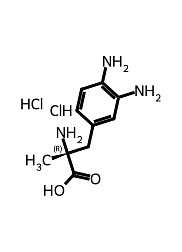 C[C@@](N)(Cc1ccc(N)c(N)c1)C(=O)O.Cl.Cl